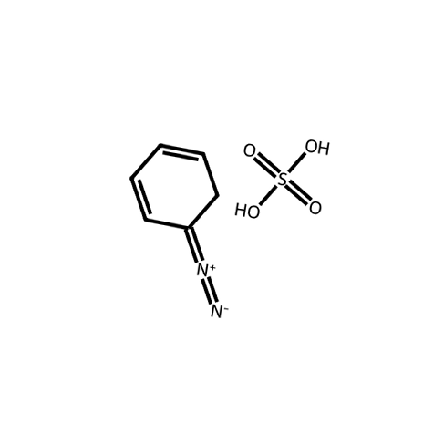 O=S(=O)(O)O.[N-]=[N+]=C1C=CC=CC1